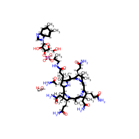 C/C1=C2/[N-]C([C@H](CC(N)=O)[C@@]2(C)CCC(=O)NCC(C)OP(=O)([O-])OC2C(O)[C@@H](n3cnc4cc(C)c(C)cc43)O[C@@H]2CO)[C@]2(C)N=C(/C(C)=C3N=C(/C=C4N=C1[C@@H](CCC(N)=O)C\4(C)C)[C@@H](CCC(N)=O)[C@]\3(C)CC(N)=O)[C@@H](CCC(N)=O)[C@]2(C)CC(N)=O.O.[Co+2]